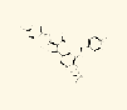 CC(C)(C)n1nc(-c2ccc(NS(=O)(=O)CC(F)(F)F)c(OCc3ccc(F)cc3)c2)c(C(N)=O)c1Nc1cnc(C(F)(F)F)cn1